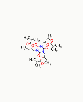 C=C(C)C(=O)OC(CC)Cn1c(=O)n(CC(CC)OC(=O)C(=C)C)c(=O)n(CC(CC)OC(=O)C(=C)C)c1=O